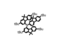 CC(C)(C)c1ccc2c(c1)C(C)(C)c1cc(N(c3cc(C(C)(C)C)cc4c3-c3ccc(C(C)(C)C)cc3C4(C)C)c3cc(C(C)(C)C)cc4c3-c3ccc(C(C)(C)C)cc3C4(C)C)ccc1-2